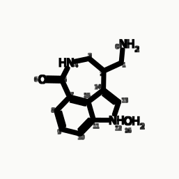 NCC1CNC(=O)c2cccc3[nH]cc1c23.O